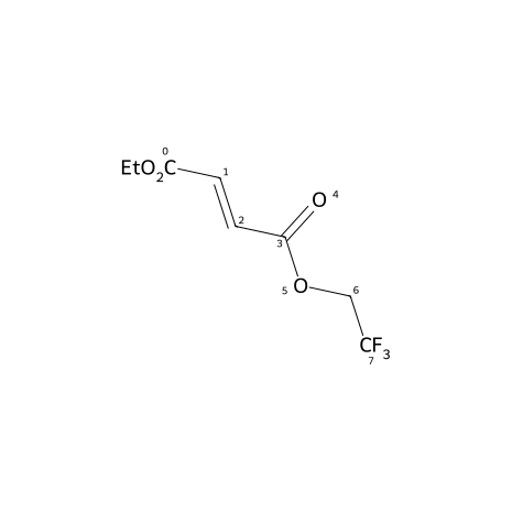 CCOC(=O)/C=C/C(=O)OCC(F)(F)F